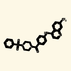 O=C(c1ccc(Nc2ccnc3cc(C(F)(F)F)ccc23)cc1)N1CCN(S(=O)(=O)c2ccccc2)CC1